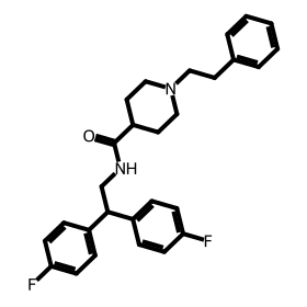 O=C(NCC(c1ccc(F)cc1)c1ccc(F)cc1)C1CCN(CCc2ccccc2)CC1